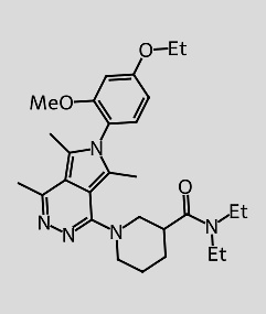 CCOc1ccc(-n2c(C)c3c(C)nnc(N4CCCC(C(=O)N(CC)CC)C4)c3c2C)c(OC)c1